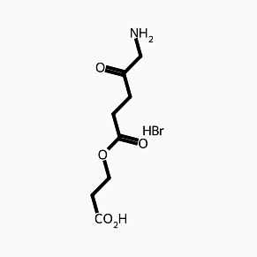 Br.NCC(=O)CCC(=O)OCCC(=O)O